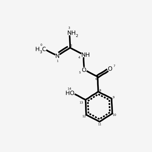 CN=C(N)NOC(=O)c1ccccc1O